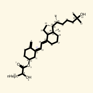 C=C1CC[C@H](OC(=O)C(O)CCCCCCC)C/C1=C/C=C1CCC[C@@]2(C)C1CC[C@@H]2[C@H](C)CCCC(C)(C)O